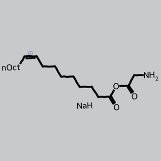 CCCCCCCC/C=C\CCCCCCCC(=O)OC(=O)CN.[NaH]